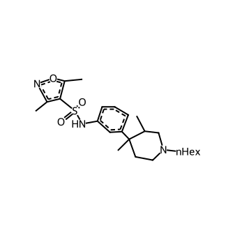 CCCCCCN1CCC(C)(c2cccc(NS(=O)(=O)c3c(C)noc3C)c2)C(C)C1